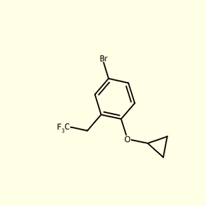 FC(F)(F)Cc1cc(Br)ccc1OC1CC1